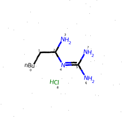 CCCCCC(N)N=C(N)N.Cl